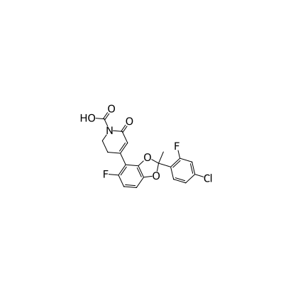 CC1(c2ccc(Cl)cc2F)Oc2ccc(F)c(C3=CC(=O)N(C(=O)O)CC3)c2O1